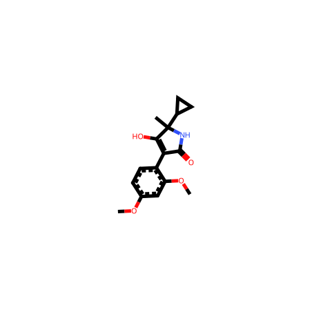 COc1ccc(C2=C(O)C(C)(C3CC3)NC2=O)c(OC)c1